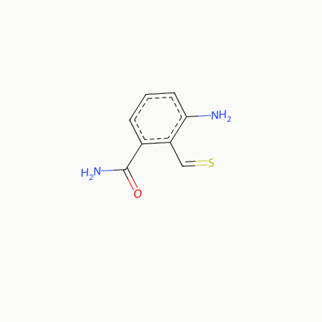 NC(=O)c1cccc(N)c1C=S